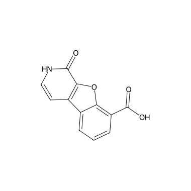 O=C(O)c1cccc2c1oc1c(=O)[nH]ccc12